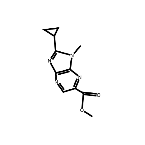 COC(=O)c1cnc2nc(C3CC3)n(C)c2n1